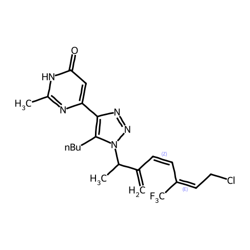 C=C(/C=C\C(=C/CCl)C(F)(F)F)C(C)n1nnc(-c2cc(=O)[nH]c(C)n2)c1CCCC